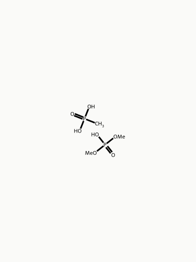 COP(=O)(O)OC.CP(=O)(O)O